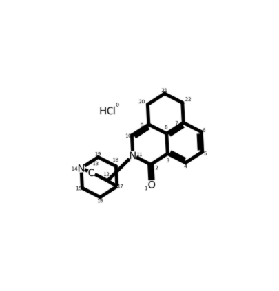 Cl.O=c1c2cccc3c2c(cn1C1CN2CCC1CC2)CCC3